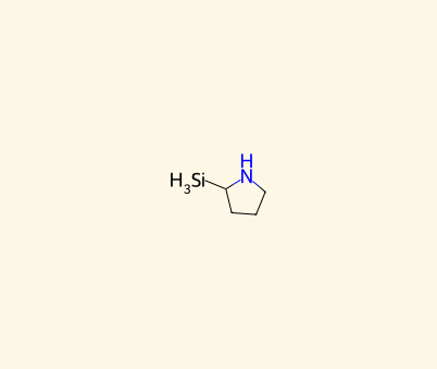 [SiH3]C1CCCN1